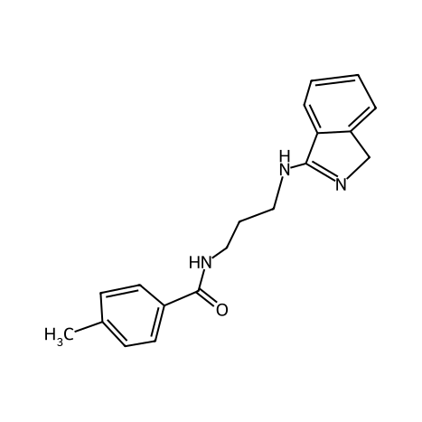 Cc1ccc(C(=O)NCCCNC2=NCc3ccccc32)cc1